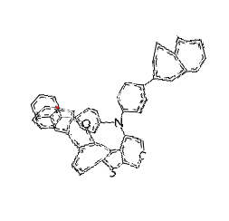 c1ccc(-c2ccc(N(c3ccc(-c4ccc5ccccc5c4)cc3)c3cccc4sc5ccc6c7cc8ccccc8cc7oc6c5c34)cc2)cc1